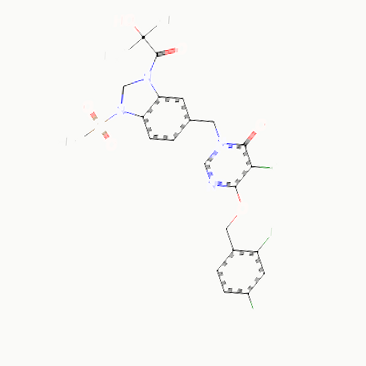 CC(C)(O)C(=O)N1CN(S(C)(=O)=O)c2ccc(Cn3cnc(OCc4ccc(F)cc4F)c(Cl)c3=O)cc21